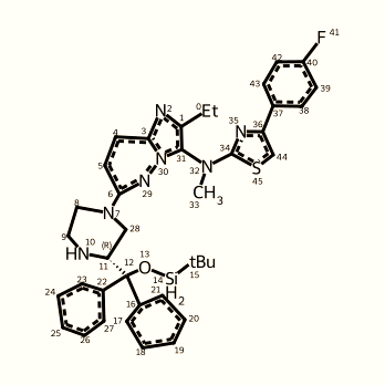 CCc1nc2ccc(N3CCN[C@@H](C(O[SiH2]C(C)(C)C)(c4ccccc4)c4ccccc4)C3)nn2c1N(C)c1nc(-c2ccc(F)cc2)cs1